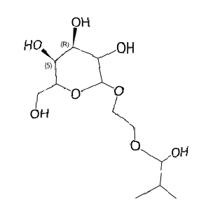 CC(C)C(O)OCCOC1OC(CO)[C@@H](O)[C@@H](O)C1O